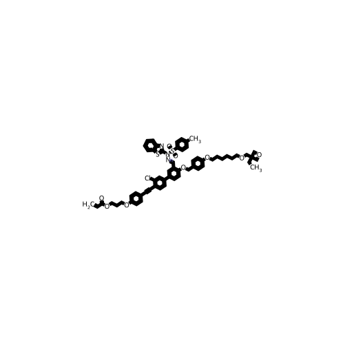 C=CC(=O)OCCCOc1ccc(C#Cc2ccc(-c3ccc(OCc4ccc(OCCCCCCOCC5(CC)COC5)cc4)c(/C=N/N(c4nc5ccccc5s4)S(=O)(=O)c4ccc(C)cc4)c3)cc2Cl)cc1